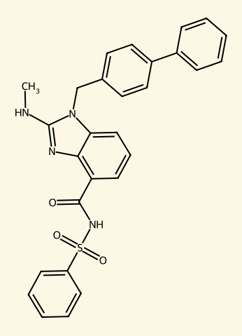 CNc1nc2c(C(=O)NS(=O)(=O)c3ccccc3)cccc2n1Cc1ccc(-c2ccccc2)cc1